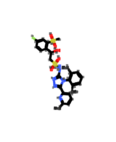 COc1cccc(-c2nnc(NS(=O)(=O)C[C@H](O)c3ccc(F)cc3S(C)(=O)=O)n2-c2c(OC)cccc2OC)n1